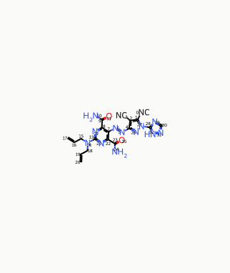 [C-]#[N+]c1c(C#N)c(N=Nc2c(C(N)=O)nc(N(CC=C)CC=C)nc2C(N)=O)nn1-c1ncn[nH]1